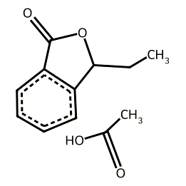 CC(=O)O.CCC1OC(=O)c2ccccc21